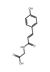 O=C(O)CNC(=O)C=Cc1ccc(O)cc1